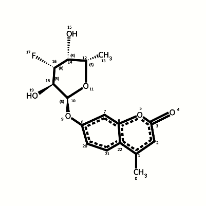 Cc1cc(=O)oc2cc(O[C@@H]3O[C@@H](C)[C@@H](O)[C@@H](F)[C@@H]3O)ccc12